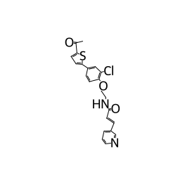 CC(=O)c1ccc(-c2ccc(OCCNC(=O)C=Cc3cccnc3)c(Cl)c2)s1